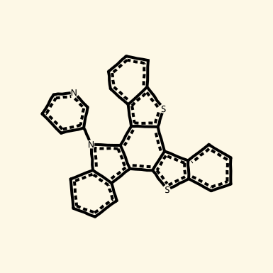 c1cncc(-n2c3ccccc3c3c4sc5ccccc5c4c4sc5ccccc5c4c32)c1